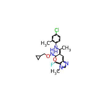 C\C(Nc1ccc(Cl)cc1C)=C(/C=c1/ncn(C)/c1=C\F)C(=O)NOCC1CC1